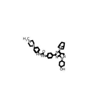 CN1CCN(c2ccc(NC(=O)Nc3ccc(-c4nc(N5CC6CCC(C5)O6)c5cnn(C6CCC(O)CC6)c5n4)cc3)cc2)CC1